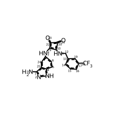 Nc1n[nH]c2ccc(Nc3c(NCc4cccc(C(F)(F)F)c4)c(=O)c3=O)cc12